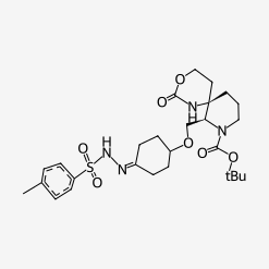 Cc1ccc(S(=O)(=O)NN=C2CCC(OC[C@@H]3N(C(=O)OC(C)(C)C)CCC[C@@]34CCOC(=O)N4)CC2)cc1